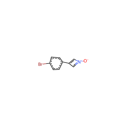 [O-][N+]1=CC(c2ccc(Br)cc2)=C1